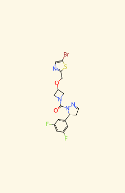 O=C(N1CC(OCc2ncc(Br)s2)C1)N1N=CCC1c1cc(F)cc(F)c1